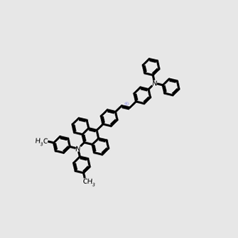 Cc1ccc(N(c2ccc(C)cc2)c2c3ccccc3c(-c3ccc(/C=C/c4ccc(N(c5ccccc5)c5ccccc5)cc4)cc3)c3ccccc23)cc1